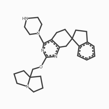 c1ccc2c(c1)CCC21CCc2c(nc(OCC34CCCN3CCC4)nc2N2CCNCC2)C1